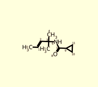 CC=CC(C)(C)NC(=O)C1CC1